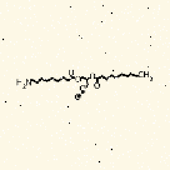 CCCCCCCCCC(=O)O[C@@H](COP=O)COC(=O)CCCCCCCCN